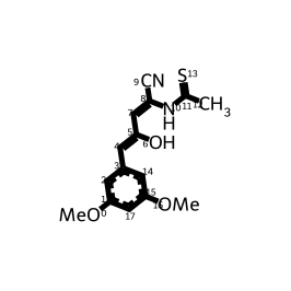 COc1cc(C=C(O)C=C(C#N)NC(C)=S)cc(OC)c1